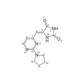 O=C1NC(=O)C(=Cc2ccnc(N3CCCC3)n2)N1